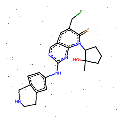 CC1(O)CCCC1n1c(=S)c(CF)cc2cnc(Nc3ccc4c(c3)CCNC4)nc21